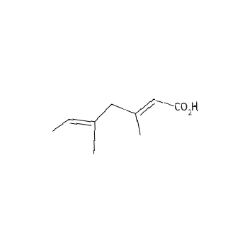 C/C=C(\C)C/C(C)=C/C(=O)O